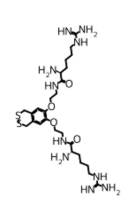 N=C(N)NCCCC[C@H](N)C(=O)NCCOc1cc2c(cc1OCCNC(=O)[C@@H](N)CCCCNC(=N)N)CSSC2